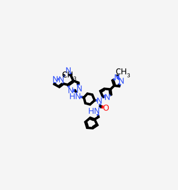 Cn1cc(-c2ccc(N(C(=O)NCc3ccccc3)C3CCC(Nc4ncc(C#N)c(-c5ccnn5C)n4)CC3)nc2)cn1